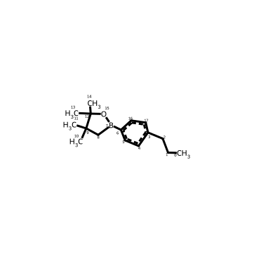 CCCc1ccc(B2CC(C)(C)C(C)(C)O2)cc1